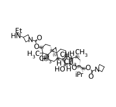 CCNC1CN(C(=O)O[C@H]2CC[C@]34C[C@]35CC[C@]3(C)[C@@H]6[C@H](O[C@@H]([C@H](OC(=O)N7CCC7)C(C)C)C[C@H]6C)[C@H](O)[C@@]3(C)[C@@H]5CC[C@H]4C2(C)C)C1